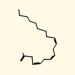 CCCCCCCC/C=C\C/C=C\C/C=C\CC(=O)O